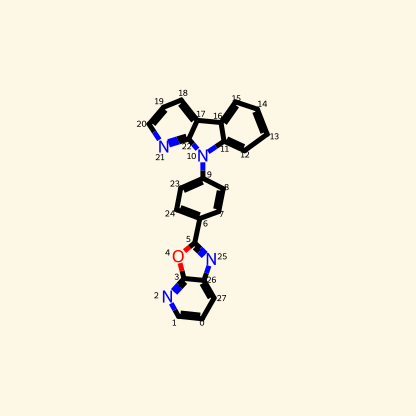 c1cnc2oc(-c3ccc(-n4c5ccccc5c5cccnc54)cc3)nc2c1